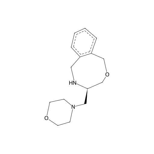 c1ccc2c(c1)CN[C@H](CN1CCOCC1)COC2